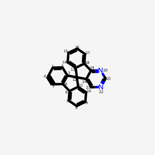 c1ccc2c(c#1)-c1ccccc1C21c2ccccc2-c2ncncc21